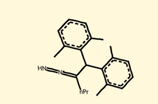 CCCC(=[N+]=N)C(c1c(C)cccc1C)c1c(C)cccc1C